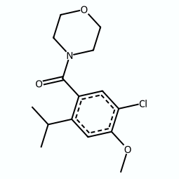 COc1cc(C(C)C)c(C(=O)N2CCOCC2)cc1Cl